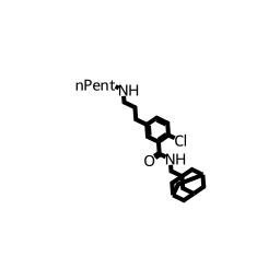 CCCCCNCCCc1ccc(Cl)c(C(=O)NCC23CC4CC(CC(C4)C2)C3)c1